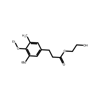 CCOc1c(C)cc(CCC(=O)OCCO)cc1C(C)(C)C